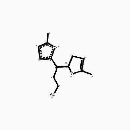 CC(=O)CCC(c1ccc(C)o1)C1CC=C(C)O1